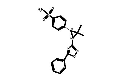 CC1(C)[C@@H](c2ccc(S(N)(=O)=O)cc2)[C@@H]1c1noc(-c2ccccc2)n1